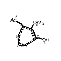 COc1c(O)cccc1C(C)=O